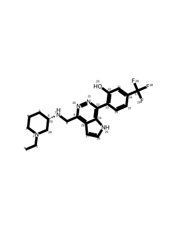 CCN1CCC[C@H](NCc2nnc(-c3ccc(C(F)(F)F)cc3O)c3[nH]ccc23)C1